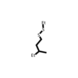 CCSSCCC(C)CC